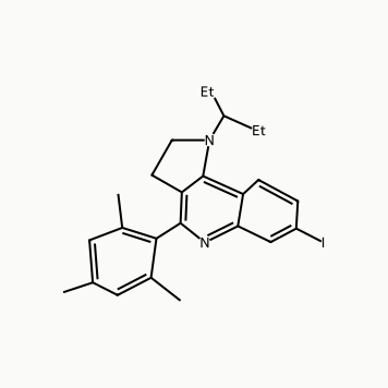 CCC(CC)N1CCc2c(-c3c(C)cc(C)cc3C)nc3cc(I)ccc3c21